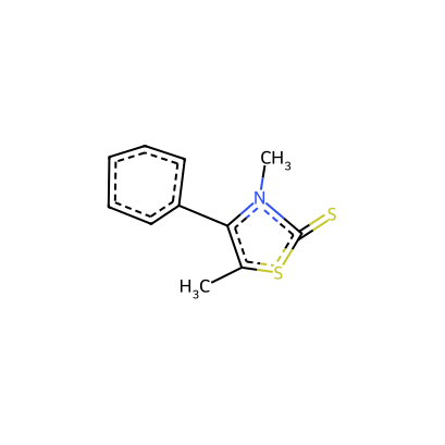 Cc1sc(=S)n(C)c1-c1ccccc1